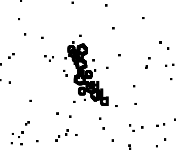 CS(=O)(=O)c1ccccc1-c1ccc(-n2cccc(NC(=O)c3ccc(Cl)nc3)c2=O)cc1